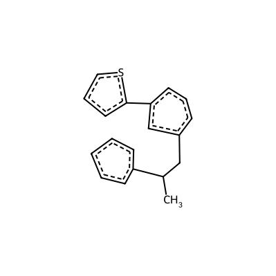 CC(Cc1cccc(-c2cccs2)c1)c1ccccc1